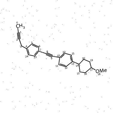 CC#CCc1ccc(C#Cc2ccc(C3CCC(OC)CC3)cc2)cc1